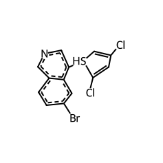 ClC1=C[SH](c2cncc3ccc(Br)cc23)C(Cl)=C1